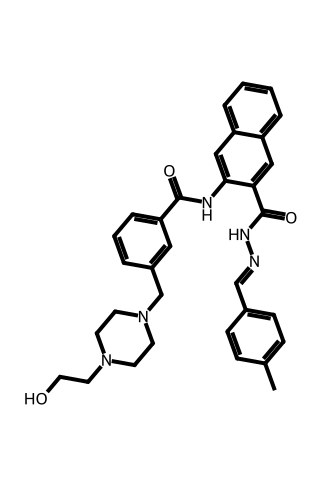 Cc1ccc(C=NNC(=O)c2cc3ccccc3cc2NC(=O)c2cccc(CN3CCN(CCO)CC3)c2)cc1